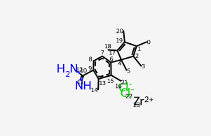 CC1=C(C)C(C)(c2ccc(C(=N)N)c(C)c2C)C(C)=C1C.[Cl-].[Cl-].[Zr+2]